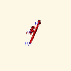 NCCOCCOCCOCCOCCOCCOCCOCCOCCOCCOCCOCCNC(=O)c1ccccc1.O=C(O)NCC1c2ccccc2-c2c(CO[C@@H]3CCC=CCCC3)cccc21